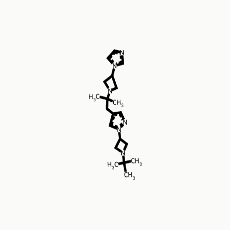 CC(C)(C)N1CC(n2cc(CC(C)(C)N3CC(n4ccnc4)C3)cn2)C1